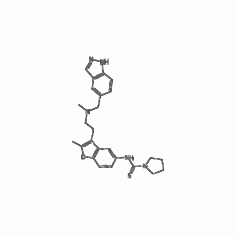 Cc1oc2ccc(NC(=S)N3CCCC3)cc2c1CCN(C)Cc1ccc2[nH]ncc2c1